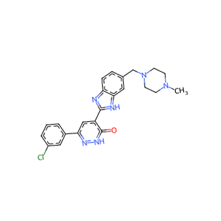 CN1CCN(Cc2ccc3nc(-c4cc(-c5cccc(Cl)c5)n[nH]c4=O)[nH]c3c2)CC1